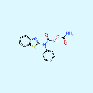 NC(=O)ONC(=O)N(c1ccccc1)c1nc2ccccc2s1